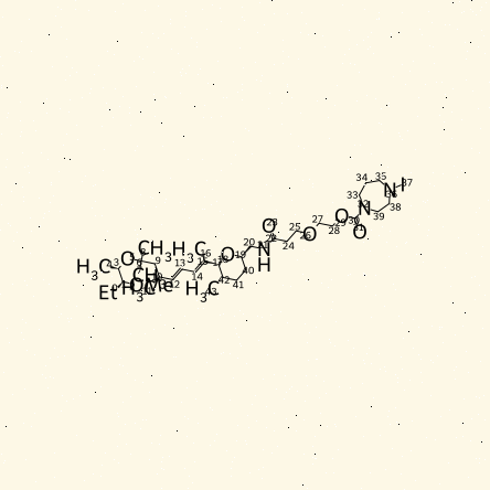 CC[C@H](OC)[C@@H](C)OC(C)(C)C[C@H](C)/C=C/C=C(\C)[C@H]1O[C@@H](CNC(=O)CCOCCOC(=O)N2CCCN(I)CC2)CC[C@@H]1C